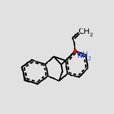 C=CC(N)C1CC2c3ccccc3C1c1ccccc12